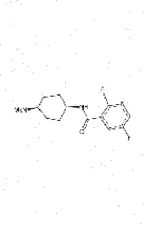 CN[C@H]1CC[C@@H](NC(=O)c2cc(F)cnc2Cl)CC1